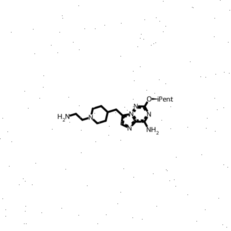 CCC[C@H](C)Oc1nc(N)c2ncc(CC3CCN(CCN)CC3)n2n1